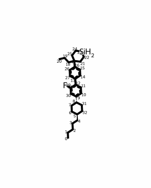 CCCCC[C@H]1CC[C@H](c2ccc(-c3ccc(C4(CCC)CC[SiH2]CC4)cc3)c(F)c2)CC1